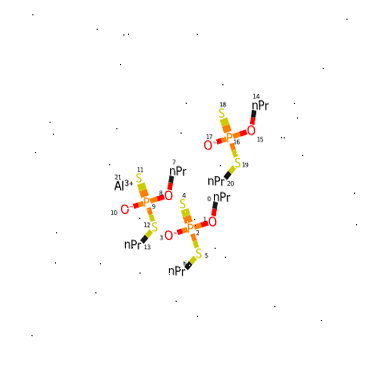 CCCOP([O-])(=S)SCCC.CCCOP([O-])(=S)SCCC.CCCOP([O-])(=S)SCCC.[Al+3]